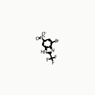 O=[N+]([O-])c1cc(Br)c2nc(C(F)(F)F)[nH]c2c1